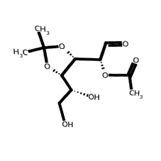 CC(=O)O[C@@H](C=O)[C@H]1OC(C)(C)O[C@H]1[C@H](O)CO